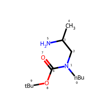 CCCCN(CC(C)N)C(=O)OC(C)(C)C